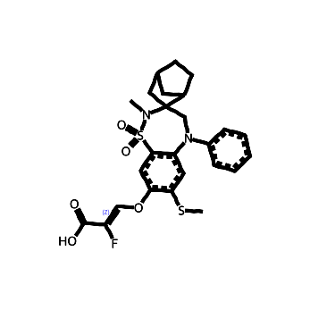 CSc1cc2c(cc1O/C=C(\F)C(=O)O)S(=O)(=O)N(C)C1(CC3CCC1C3)CN2c1ccccc1